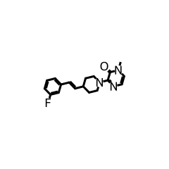 Cn1ccnc(N2CCC(C=Cc3cccc(F)c3)CC2)c1=O